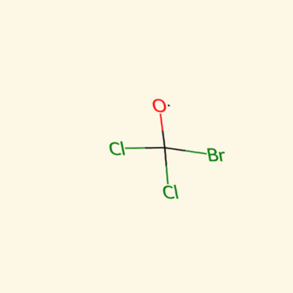 [O]C(Cl)(Cl)Br